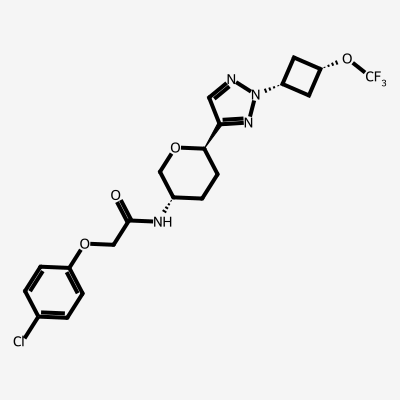 O=C(COc1ccc(Cl)cc1)N[C@H]1CC[C@H](c2cnn([C@H]3C[C@@H](OC(F)(F)F)C3)n2)OC1